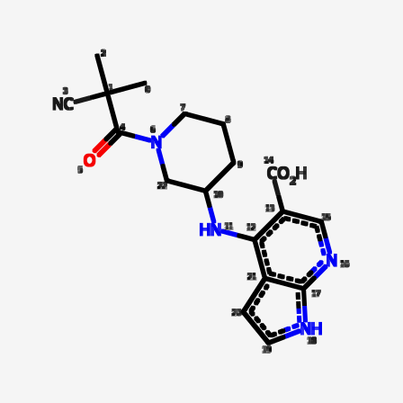 CC(C)(C#N)C(=O)N1CCCC(Nc2c(C(=O)O)cnc3[nH]ccc23)C1